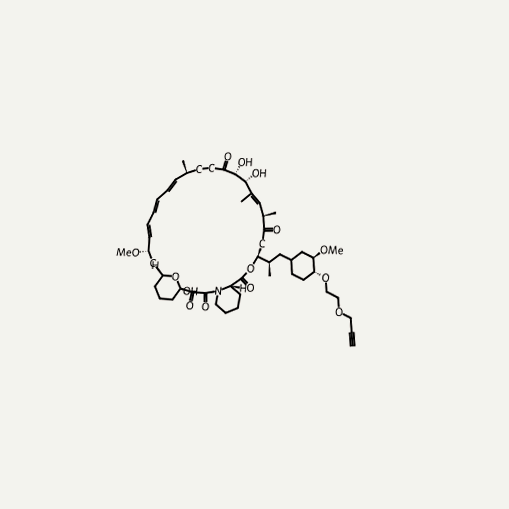 C#CCOCCO[C@@H]1CCC(C[C@@H](C)[C@@H]2CC(=O)[C@H](C)/C=C(\C)[C@@H](O)[C@@H](O)C(=O)CC[C@H](C)/C=C/C=C/C=C/[C@@H](OC)C[C@@H]3CCC[C@@](O)(O3)C(=O)C(=O)N3CCCC[C@H]3C(=O)O2)C[C@H]1OC